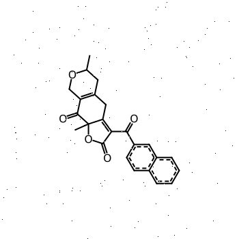 CC1CC2=C(CO1)C(=O)C1(C)OC(=O)C(C(=O)c3ccc4ccccc4c3)=C1C2